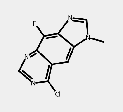 Cn1cnc2c(F)c3ncnc(Cl)c3cc21